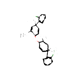 N#CC1=CC(c2ccccc2F)([N+](=O)[O-])C=CC1OC1C=CC(c2ccccc2F)([N+](=O)[O-])C=C1C#N